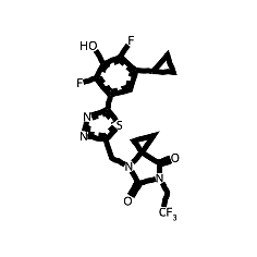 O=C1N(CC(F)(F)F)C(=O)C2(CC2)N1Cc1nnc(-c2cc(C3CC3)c(F)c(O)c2F)s1